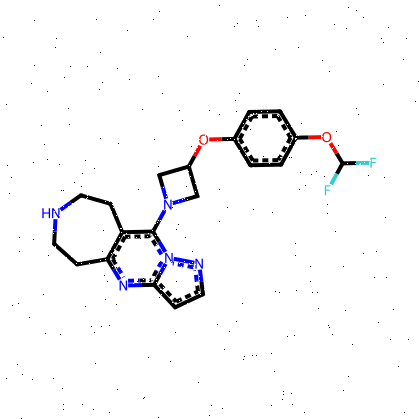 FC(F)Oc1ccc(OC2CN(c3c4c(nc5ccnn35)CCNCC4)C2)cc1